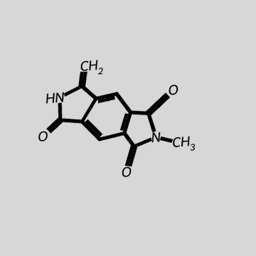 C=C1NC(=O)c2cc3c(cc21)C(=O)N(C)C3=O